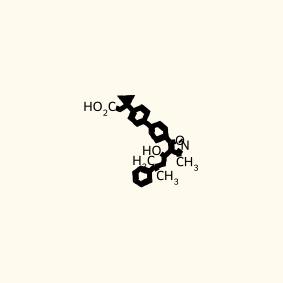 Cc1noc(-c2ccc(-c3ccc(C4(CC(=O)O)CC4)cc3)cc2)c1C(O)CC(C)(C)c1ccccc1